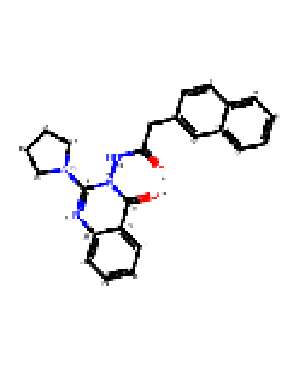 O=C(Cc1ccc2ccccc2c1)Nn1c(N2CCCC2)nc2ccccc2c1=O